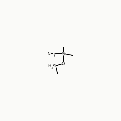 C[SiH2]O[Si](C)(C)C.N